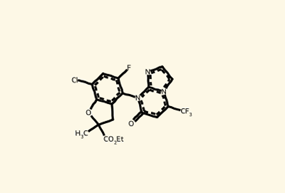 CCOC(=O)C1(C)Cc2c(c(Cl)cc(F)c2-n2c(=O)cc(C(F)(F)F)n3ccnc23)O1